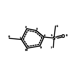 Cc1ccc([S+](C)(C)=O)cc1